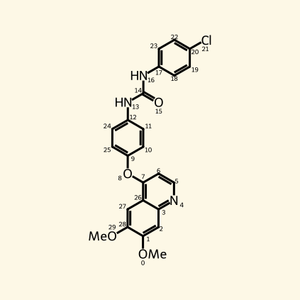 COc1cc2nccc(Oc3ccc(NC(=O)Nc4ccc(Cl)cc4)cc3)c2cc1OC